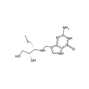 CSC[C@H](NCc1c[nH]c2c(=O)[nH]c(N)nc12)[C@H](O)CO